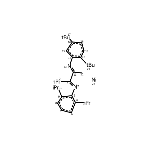 CCCC(=Nc1c(C(C)C)cccc1C(C)C)C(C)=Nc1cc(C(C)(C)C)ccc1C(C)(C)C.[Ni]